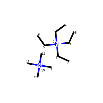 CC[N+](CC)(CC)CC.C[N+](C)(C)C